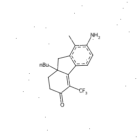 CCCCC12CCC(=O)C(C(F)(F)F)=C1c1ccc(N)c(C)c1C2